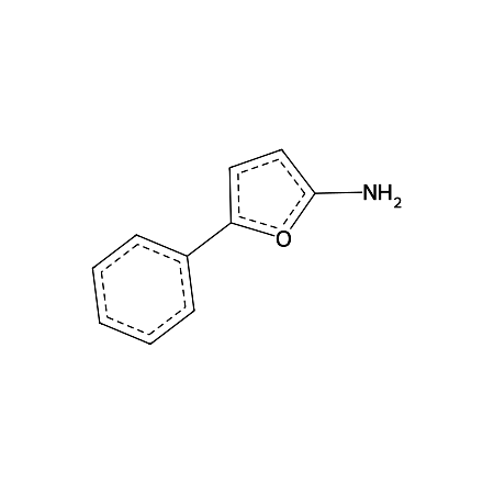 Nc1ccc(-c2ccccc2)o1